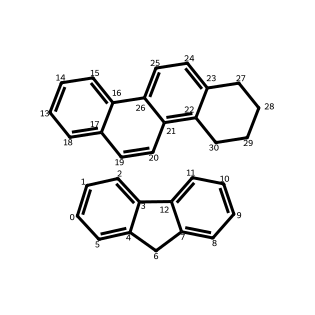 c1ccc2c(c1)Cc1ccccc1-2.c1ccc2c(c1)ccc1c3c(ccc12)CCCC3